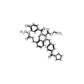 CCOC(=O)CN(Cc1c(CCC(=O)OC)cccc1NCc1ccc(C(=O)N2CCCC2)cc1)C(=O)c1ccc(Cl)cc1